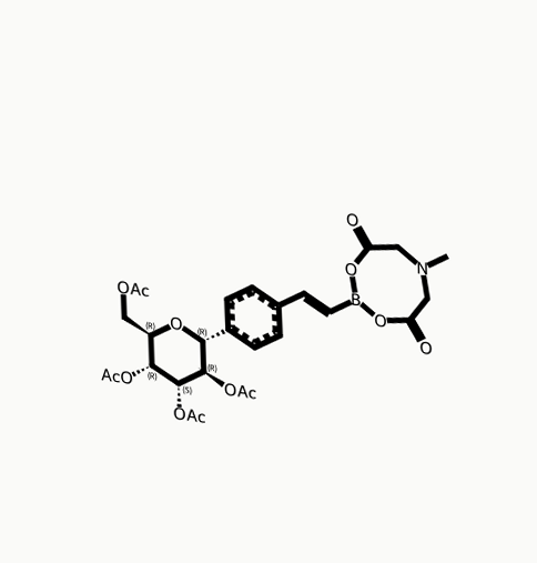 CC(=O)OC[C@H]1O[C@H](c2ccc(C=CB3OC(=O)CN(C)CC(=O)O3)cc2)[C@@H](OC(C)=O)[C@H](OC(C)=O)[C@@H]1OC(C)=O